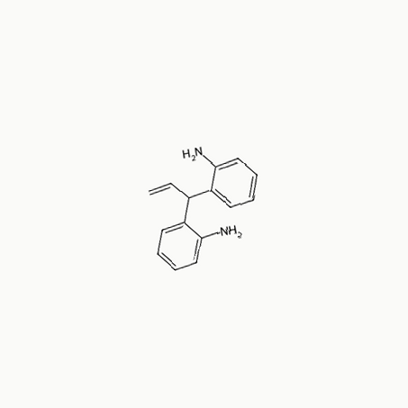 C=CC(c1ccccc1N)c1ccccc1N